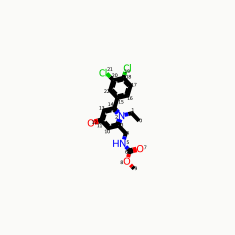 CCn1c(CNC(=O)OC)cc(=O)cc1-c1ccc(Cl)c(Cl)c1